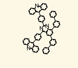 c1ccc(-c2cccc(-c3cc(-c4cccc(-c5ccccc5)c4)c4nc(-c5ccc(-c6c7ccccc7nc7ccccc67)cc5)nc(-c5ccc(-c6c7ccccc7nc7ccccc67)cc5)c4c3)c2)cc1